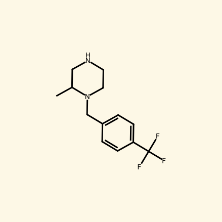 CC1CNCCN1Cc1ccc(C(F)(F)F)cc1